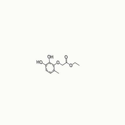 CCOC(=O)COc1c(C)ccc(O)c1O